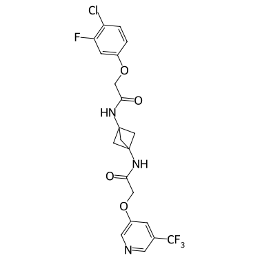 O=C(COc1cncc(C(F)(F)F)c1)NC12CC(NC(=O)COc3ccc(Cl)c(F)c3)(C1)C2